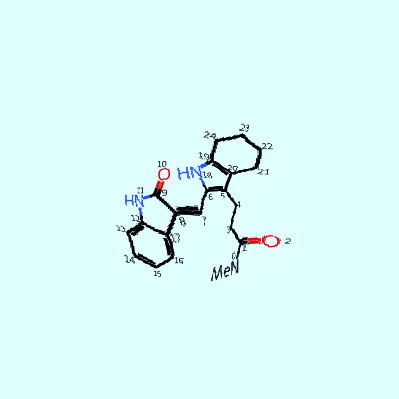 CNC(=O)CCc1c(C=C2C(=O)Nc3ccccc32)[nH]c2c1CCCC2